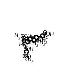 CC(C)[C@@H]1CC[C@]2(NCCC3(O)CCN(S(C)(=O)=O)CC3)CC[C@]3(C)[C@H](CC[C@@H]4[C@@]5(C)CC=C(C6=CC[C@](CF)(C(=O)O)CC6)C(C)(C)[C@@H]5CC[C@]43C)[C@@H]12